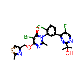 Cc1nc(COc2nc(C)n(-c3cc(-c4nc(C(C)(C)O)ncc4F)ccc3Cl)c(=O)c2Br)cs1